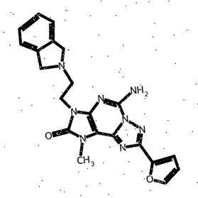 Cn1c(=O)n(CCN2Cc3ccccc3C2)c2nc(N)n3nc(-c4ccco4)nc3c21